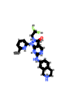 CC(C)(C)c1cccc(-n2c3nc(Nc4ccc5c(c4)CNCC5)ncc3c(=O)n2CC(F)F)n1